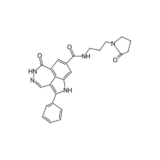 O=C(NCCCN1CCCC1=O)c1cc2c3c(c(-c4ccccc4)[nH]c3c1)C=NNC2=O